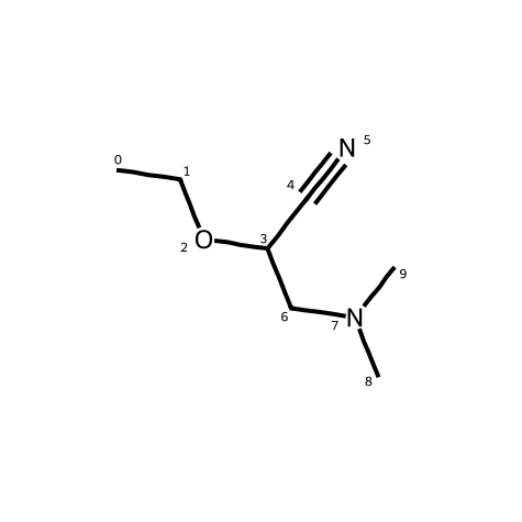 CCOC(C#N)CN(C)C